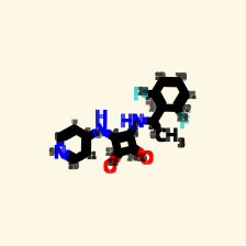 CC(Nc1c(Nc2ccncc2)c(=O)c1=O)c1c(F)cccc1F